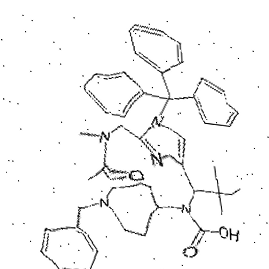 CC(=O)N(C)Cc1nc(C(N(C(=O)O)C2CCN(Cc3ccccc3)CC2)C(C)(C)C)cn1C(c1ccccc1)(c1ccccc1)c1ccccc1